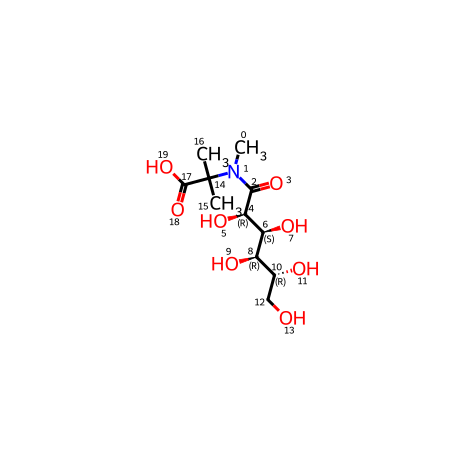 CN(C(=O)[C@H](O)[C@@H](O)[C@H](O)[C@H](O)CO)C(C)(C)C(=O)O